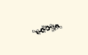 CCc1cnc(-c2cnc(N3CCC(C(=O)NS(=O)(=O)c4ccc(Cl)s4)CC3)c(NC(C)=O)c2)o1